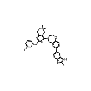 Cc1nc2ccc(-c3ccc4c(c3)CN(c3nc(CN5C=CC=C(F)C5)nc5c3CC(C)(C)CC5)CCO4)cc2[nH]1